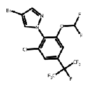 FC(F)Oc1cc(C(F)(C(F)(F)F)C(F)(F)F)cc(Cl)c1-n1cc(Br)cn1